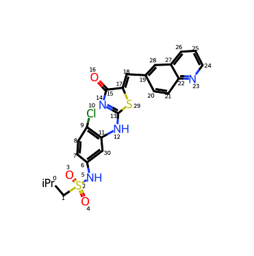 CC(C)CS(=O)(=O)Nc1ccc(Cl)c(NC2=NC(=O)/C(=C/c3ccc4ncccc4c3)S2)c1